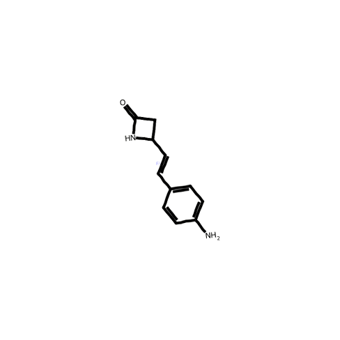 Nc1ccc(/C=C/C2CC(=O)N2)cc1